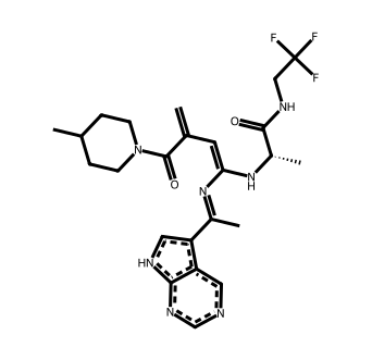 C=C(/C=C(\N=C(/C)c1c[nH]c2ncncc12)N[C@@H](C)C(=O)NCC(F)(F)F)C(=O)N1CCC(C)CC1